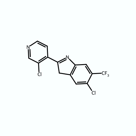 FC(F)(F)c1cc2c(cc1Cl)CC(c1ccncc1Cl)=N2